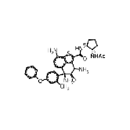 CC(=O)N[C@H]1CCC[C@H]1NC(=O)c1sc2c(N)ccc3c2c1C(N)C(=O)C3(N)c1ccc(Oc2ccccc2)cc1C